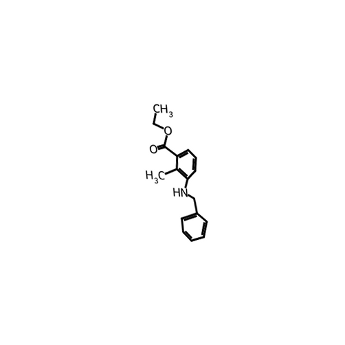 CCOC(=O)c1cccc(NCc2ccccc2)c1C